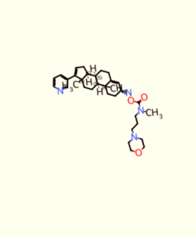 CN(CCCN1CCOCC1)C(=O)ON=C1C=C2CC[C@H]3[C@H](CC[C@]4(C)C(c5cccnc5)=CC[C@@H]34)[C@@]2(C)CC1